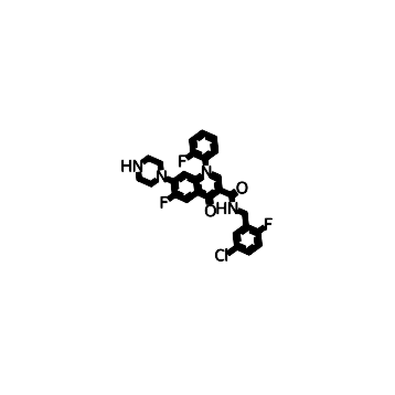 O=C(NCc1cc(Cl)ccc1F)c1cn(-c2ccccc2F)c2cc(N3CCNCC3)c(F)cc2c1=O